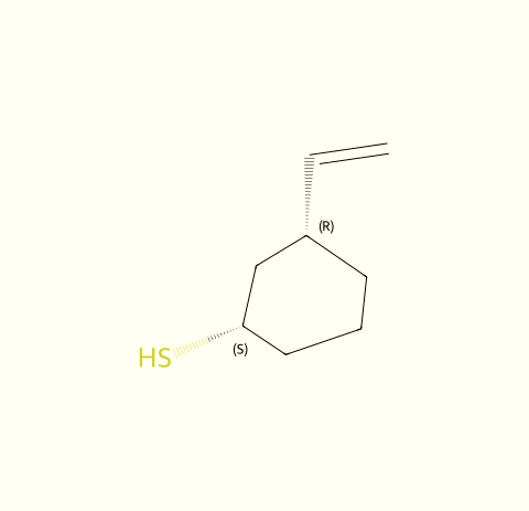 C=C[C@@H]1CCC[C@H](S)C1